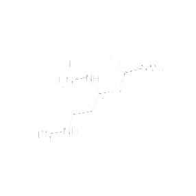 CNC(=O)OC(CCNN)NN.Cl